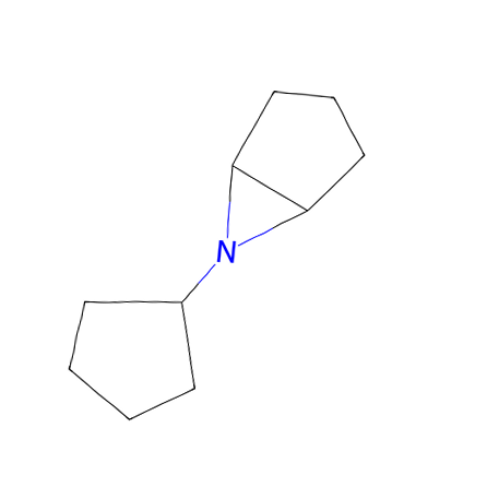 C1CCC(N2C3CCCC32)C1